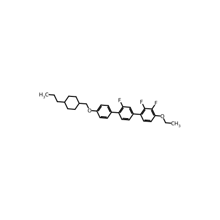 CCCC1CCC(COc2ccc(-c3ccc(-c4ccc(OCC)c(F)c4F)cc3F)cc2)CC1